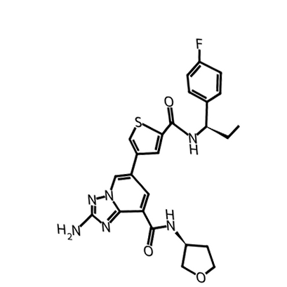 CC[C@@H](NC(=O)c1cc(-c2cc(C(=O)N[C@H]3CCOC3)c3nc(N)nn3c2)cs1)c1ccc(F)cc1